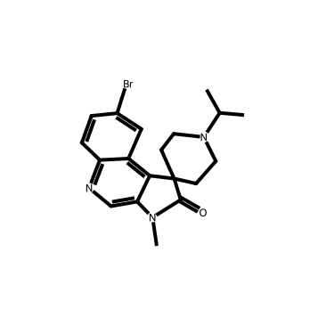 CC(C)N1CCC2(CC1)C(=O)N(C)c1cnc3ccc(Br)cc3c12